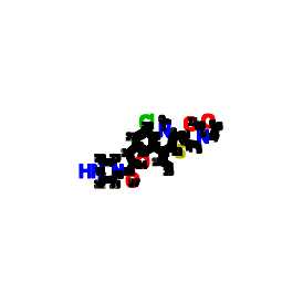 C=Nc1cc(CN2CCOC2=O)sc1/C(=C\C)c1cc(Cl)cc2c1O[C@@H](C(=O)N1CCNCC1)C2